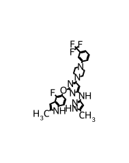 Cc1cc(Nc2cc(N3CCN(c4cccc(C(F)(F)F)c4)CC3)nc(Oc3ccc4[nH]c(C)cc4c3F)n2)n[nH]1